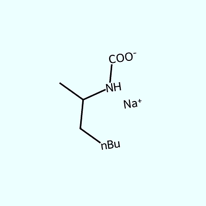 CCCCCC(C)NC(=O)[O-].[Na+]